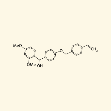 C=Cc1ccc(COc2ccc(C(O)c3ccc(OC)cc3OC)cc2)cc1